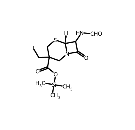 C[Si](C)(C)OC(=O)C1(CI)CS[C@@H]2C(NC=O)C(=O)N2C1